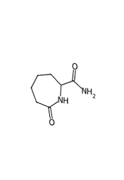 NC(=O)C1CCCCC(=O)N1